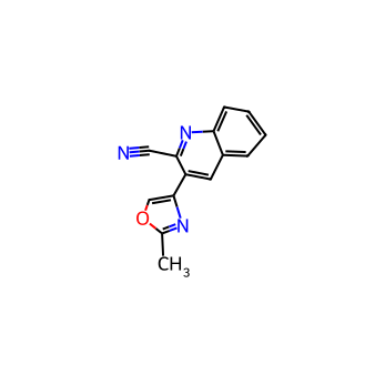 Cc1nc(-c2cc3ccccc3nc2C#N)co1